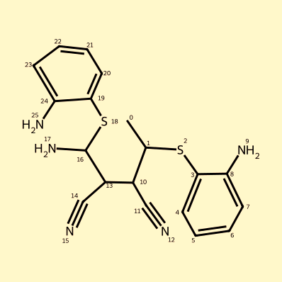 CC(Sc1ccccc1N)C(C#N)C(C#N)C(N)Sc1ccccc1N